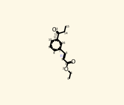 CCOC(=O)/C=C/c1cccc(C(=O)CC)c1